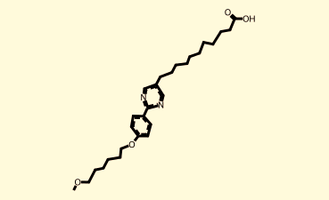 COCCCCCCOc1ccc(-c2ncc(CCCCCCCCCCC(=O)O)cn2)cc1